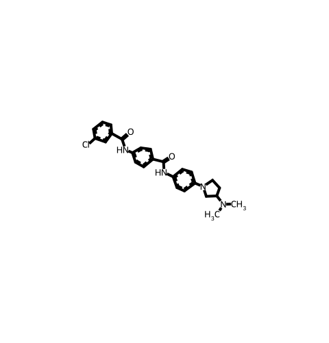 CN(C)C1CCN(c2ccc(NC(=O)c3ccc(NC(=O)c4cccc(Cl)c4)cc3)cc2)C1